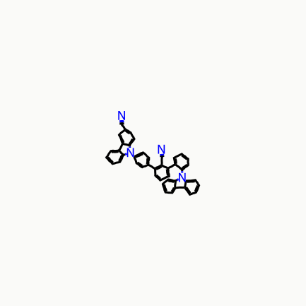 N#Cc1ccc2c(c1)c1ccccc1n2-c1ccc(-c2cccc(-c3ccccc3-n3c4ccccc4c4ccccc43)c2C#N)cc1